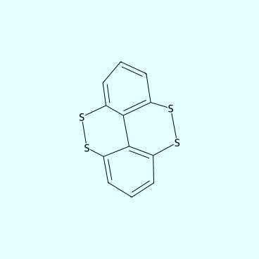 c1cc2ssc3cccc4ssc(c1)c2-c34